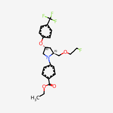 CCOC(=O)c1ccc(N2C[C@H](Oc3ccc(C(F)(F)F)cc3)C[C@H]2COCCF)cc1